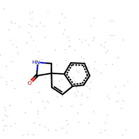 O=C1NCC12C=Cc1ccccc12